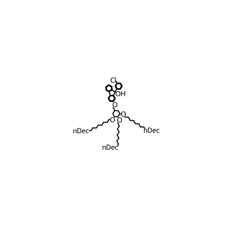 CCCCCCCCCCCCCCCCCCOC1CC(COc2ccc3c(c2)C(O)(c2cccc(Cl)c2)c2ccccc2-3)CC(OCCCCCCCCCCCCCCCCCC)C1OCCCCCCCCCCCCCCCCCC